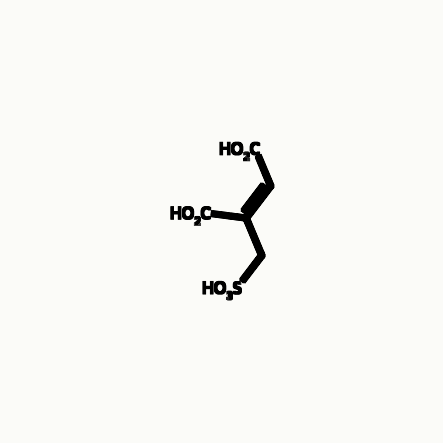 O=C(O)/C=C(/CS(=O)(=O)O)C(=O)O